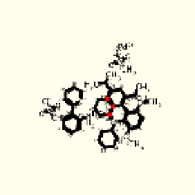 COc1ccc(OC)c(P(C2CCCCC2)C2CCCCC2)c1-c1c(C(C)C)cc(C(C)C)cc1C(C)C.CS(=O)(=O)[O-].CS(=O)(=O)[O-].Nc1ccccc1-c1[c-]cccc1.[Pd+2]